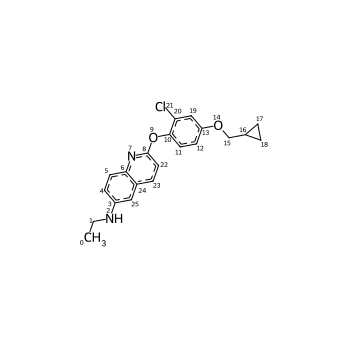 CCNc1ccc2nc(Oc3ccc(OCC4CC4)cc3Cl)ccc2c1